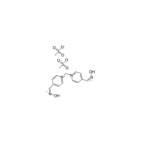 CS(=O)(=O)[O-].CS(=O)(=O)[O-].O/N=C\c1cc[n+](C[n+]2ccc(/C=N\O)cc2)cc1